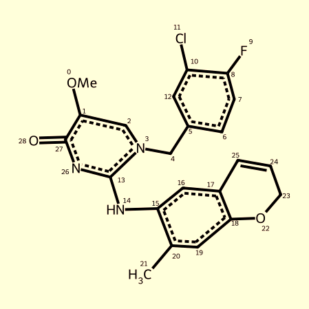 COc1cn(Cc2ccc(F)c(Cl)c2)c(Nc2cc3c(cc2C)OCC=C3)nc1=O